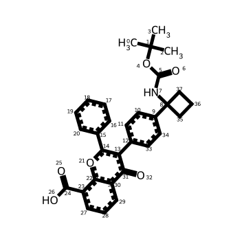 CC(C)(C)OC(=O)NC1(c2ccc(-c3c(-c4ccccc4)oc4c(C(=O)O)cccc4c3=O)cc2)CCC1